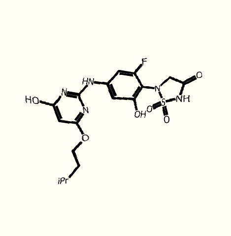 CC(C)CCOc1cc(O)nc(Nc2cc(O)c(N3CC(=O)NS3(=O)=O)c(F)c2)n1